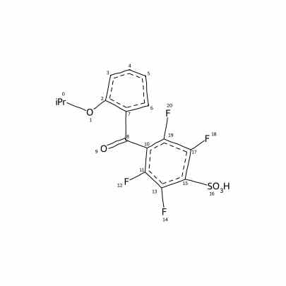 CC(C)Oc1ccccc1C(=O)c1c(F)c(F)c(S(=O)(=O)O)c(F)c1F